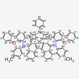 Cc1ccc(N(c2cc3c(c4ccccc24)-c2c(cc(N(c4ccc(C)cc4)c4cccc5c4oc4ccccc45)c4ccccc24)C32c3ccccc3N(c3ccccc3)c3ccccc32)c2cccc3c2oc2ccccc23)cc1